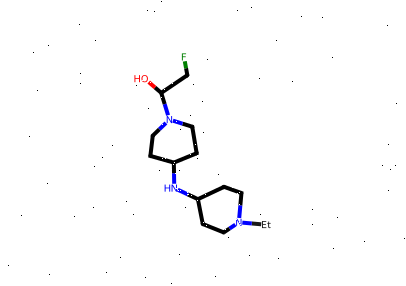 CCN1CCC(NC2CCN(C(O)CF)CC2)CC1